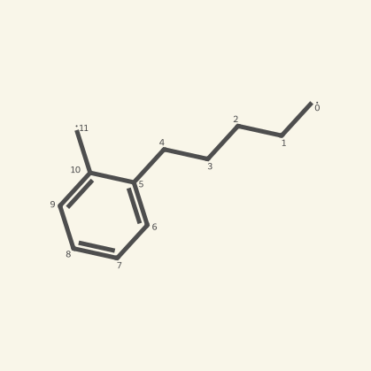 [CH2]CCCCc1ccccc1[CH2]